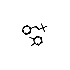 CC(C)(C)C=Cc1ccccc1.Cc1ccccc1C